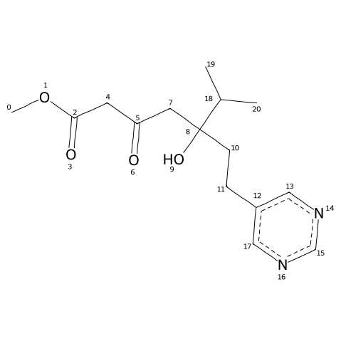 COC(=O)CC(=O)CC(O)(CCc1cncnc1)C(C)C